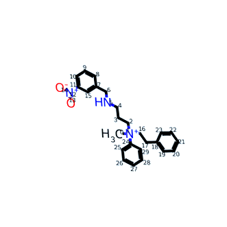 C[N+](CCCNCc1cccc([N+](=O)[O-])c1)(CCc1ccccc1)c1ccccc1